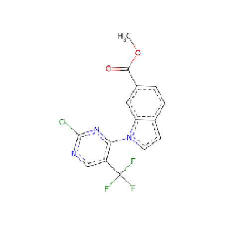 COC(=O)c1ccc2ccn(-c3nc(Cl)ncc3C(F)(F)F)c2c1